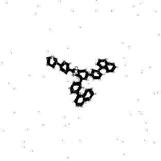 c1cncc(-c2ccc(-c3nc4c(-c5cccc(-c6cccc7ccccc67)c5)cc(-c5cccc(-c6cccc7ccccc67)c5)cc4o3)cc2)c1